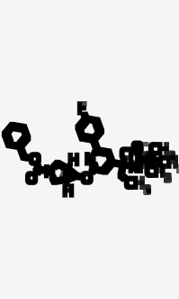 CCC(C)(N[S+]([O-])C(C)(C)C)c1cc(OC2[C@H]3CN(C(=O)OCc4ccccc4)C[C@@H]23)nc(-c2ccc(F)cc2)c1